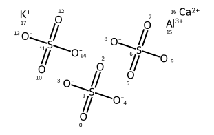 O=S(=O)([O-])[O-].O=S(=O)([O-])[O-].O=S(=O)([O-])[O-].[Al+3].[Ca+2].[K+]